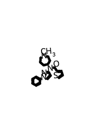 CN1CCCC(N(C(=O)c2cccs2)c2ccn(-c3ccccc3)n2)CC1